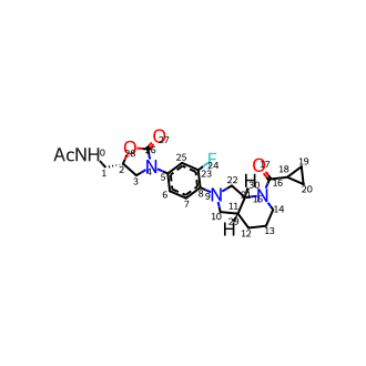 CC(=O)NC[C@H]1CN(c2ccc(N3C[C@H]4CCCN(C(=O)C5CC5)[C@H]4C3)c(F)c2)C(=O)O1